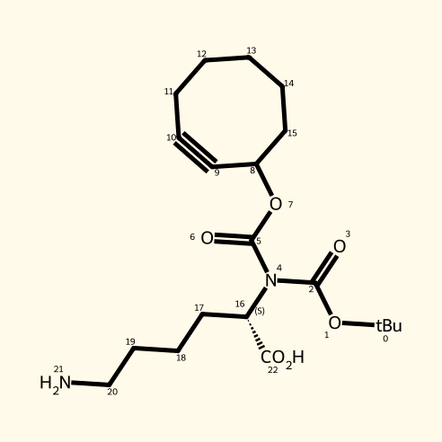 CC(C)(C)OC(=O)N(C(=O)OC1C#CCCCCC1)[C@@H](CCCCN)C(=O)O